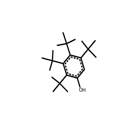 CC(C)(C)c1cc(O)c(C(C)(C)C)c(C(C)(C)C)c1C(C)(C)C